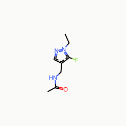 CCn1ncc(CNC(C)=O)c1F